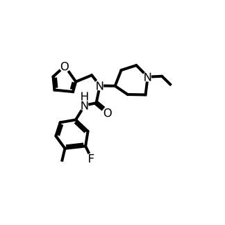 CCN1CCC(N(Cc2ccco2)C(=O)Nc2ccc(C)c(F)c2)CC1